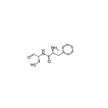 N[C@@H](Cc1ccccc1)C(=O)N[C@H]([C]=O)CS